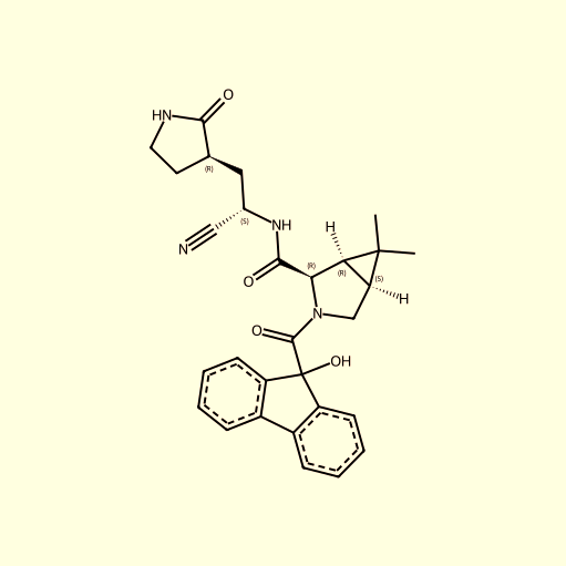 CC1(C)[C@@H]2[C@H](C(=O)N[C@H](C#N)C[C@H]3CCNC3=O)N(C(=O)C3(O)c4ccccc4-c4ccccc43)C[C@@H]21